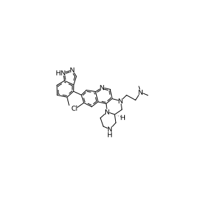 Cc1ccc2[nH]ncc2c1-c1cc2ncc3c(c2cc1Cl)N1CCNC[C@@H]1CN3CCN(C)C